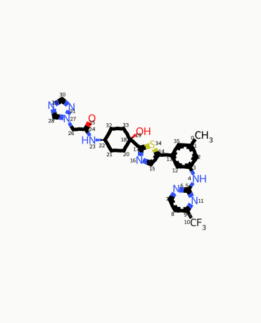 Cc1cc(Nc2nccc(C(F)(F)F)n2)cc(-c2cnc([C@]3(O)CC[C@@H](NC(=O)Cn4cncn4)CC3)s2)c1